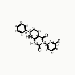 O=c1[nH]c2c(c(=O)n1-c1cccc(F)n1)CC[C@H](c1ccccc1)N2